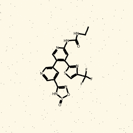 CCNC(=O)Nc1cc(-c2nc(C(F)(F)F)cs2)c(-c2cncc(C3=NOS(=O)N3)c2)cn1